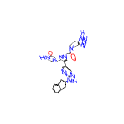 O=C1CN(Cc2nn(CC(=O)N3CCc4[nH]nnc4C3)cc2-c2cnc(NC3Cc4ccccc4C3)nc2)CCN1